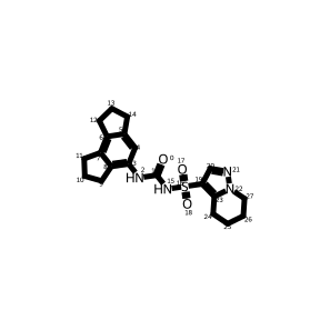 O=C(Nc1cc2c(c3c1CCC3)CCC2)NS(=O)(=O)c1cnn2c1CCCC2